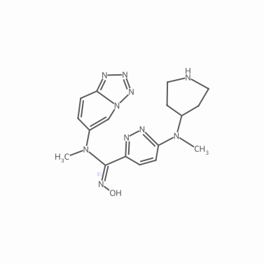 CN(/C(=N/O)c1ccc(N(C)C2CCNCC2)nn1)c1ccc2nnnn2c1